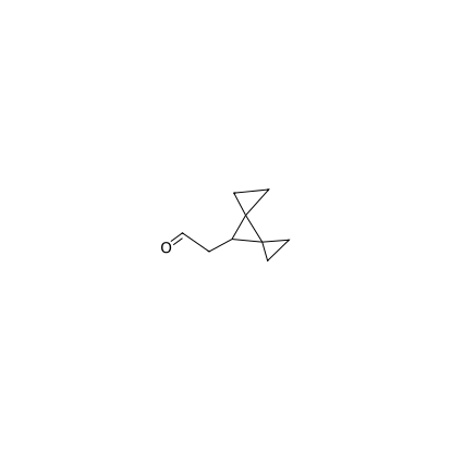 O=CCC1C2(CC2)C12CC2